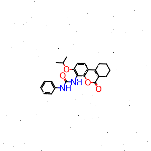 CC(C)Oc1ccc2c3c(c(=O)oc2c1NC(=O)Nc1ccccc1)CCCC3